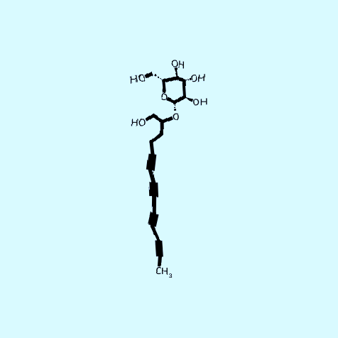 CC#CC#CC#CC#CCCC(CO)O[C@@H]1O[C@H](CO)[C@@H](O)[C@H](O)[C@H]1O